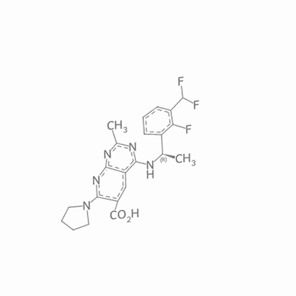 Cc1nc(N[C@H](C)c2cccc(C(F)F)c2F)c2cc(C(=O)O)c(N3CCCC3)nc2n1